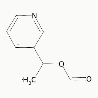 [CH2]C(OC=O)c1cccnc1